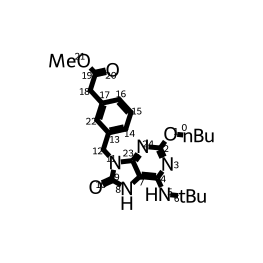 CCCCOc1nc(NC(C)(C)C)c2[nH]c(=O)n(Cc3cccc(CC(=O)OC)c3)c2n1